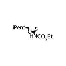 CCCC(C)COC(=S)NC(=O)OCC